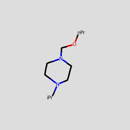 CCCOCN1CCN(C(C)C)CC1